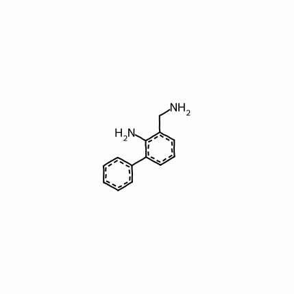 NCc1cccc(-c2ccccc2)c1N